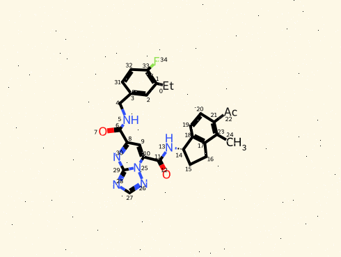 CCc1cc(CNC(=O)c2cc(C(=O)N[C@H]3CCc4c3ccc(C(C)=O)c4C)n3ncnc3n2)ccc1F